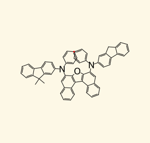 CC1(C)c2ccccc2-c2ccc(N(c3ccccc3)c3cc4ccccc4c4c3oc3c(N(c5ccccc5)c5ccc6c(c5)Cc5ccccc5-6)cc5ccccc5c34)cc21